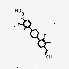 C/C=C/c1ccc(C2CCC(c3ccc(OCC)c(F)c3F)CC2)c(F)c1F